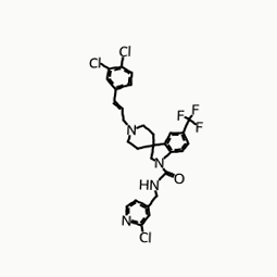 O=C(NCc1ccnc(Cl)c1)N1CC2(CCN(CC=Cc3ccc(Cl)c(Cl)c3)CC2)c2cc(C(F)(F)F)ccc21